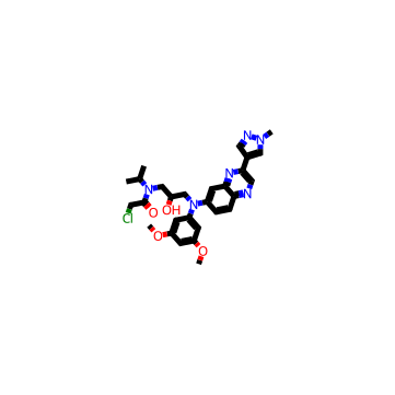 COc1cc(OC)cc(N(CC(O)CN(C(=O)CCl)C(C)C)c2ccc3ncc(-c4cnn(C)c4)nc3c2)c1